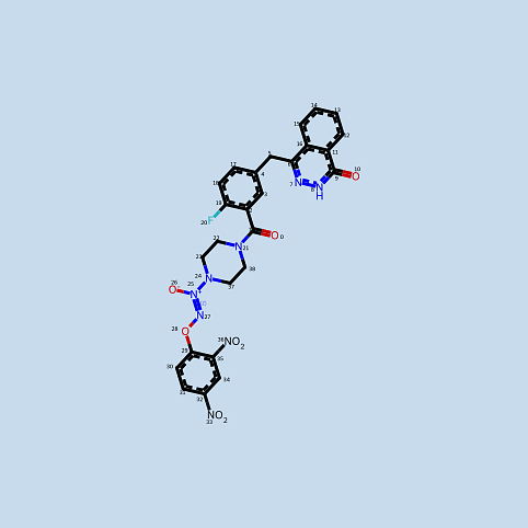 O=C(c1cc(Cc2n[nH]c(=O)c3ccccc23)ccc1F)N1CCN(/[N+]([O-])=N/Oc2ccc([N+](=O)[O-])cc2[N+](=O)[O-])CC1